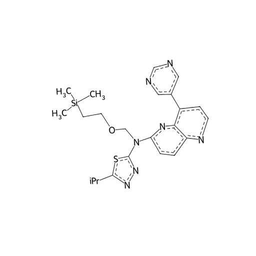 CC(C)c1nnc(N(COCC[Si](C)(C)C)c2ccc3nccc(-c4cncnc4)c3n2)s1